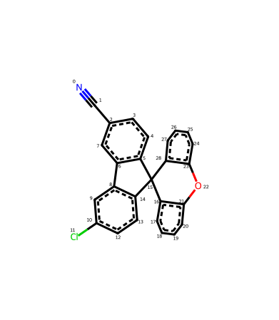 N#Cc1ccc2c(c1)-c1cc(Cl)ccc1C21c2ccccc2Oc2ccccc21